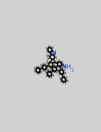 CC1(C)C2=C(C=C3N=c4ccccc4=C31)C(c1ccc(N)c(-c3ccc(-c4ccccc4)cc3)c1-c1ccc(-c3ccccc3)cc1)=C1C=CC(c3ccc(-c4ccccc4)cc3)C=C12